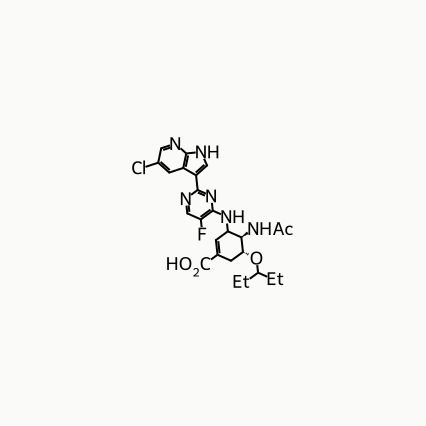 CCC(CC)O[C@@H]1CC(C(=O)O)=CC(Nc2nc(-c3c[nH]c4ncc(Cl)cc34)ncc2F)[C@H]1NC(C)=O